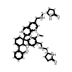 COc1nc(C2(c3cc4ncc(CNC[C@@H]5CCC(=O)N5)cc4cn3)C=CC=C(c3ccccc3Cl)C2Cl)ccc1CNC[C@@H]1CCC(=O)N1